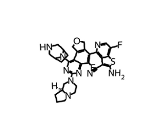 N#Cc1c(N)sc2c(F)cnc(-c3c4c(c5c(N6C7CCC6CNC7)nc(N6CCN7CCC[C@H]7C6)nc5c3F)COC4)c12